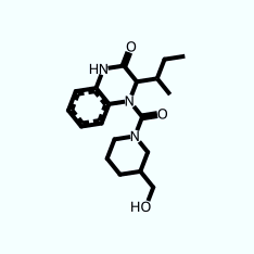 CCC(C)C1C(=O)Nc2ccccc2N1C(=O)N1CCCC(CO)C1